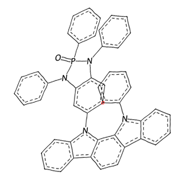 O=P1(c2ccccc2)N(c2ccccc2)c2ccc(-n3c4ccccc4c4ccc5c6ccccc6n(-c6ccccc6)c5c43)cc2N1c1ccccc1